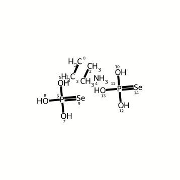 CC.CC.N.OP(O)(O)=[Se].OP(O)(O)=[Se]